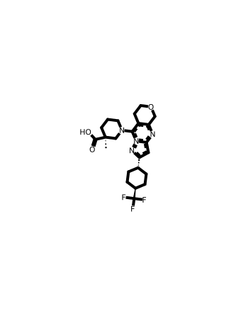 C[C@]1(C(=O)O)CCCN(c2c3c(nc4cc([C@H]5CC[C@H](C(F)(F)F)CC5)nn24)COCC3)C1